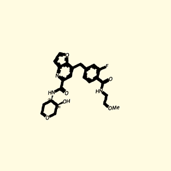 COCCNC(=O)c1ccc(Cc2cc(C(=O)N[C@H]3CCOC[C@@H]3O)nc3ccoc23)cc1F